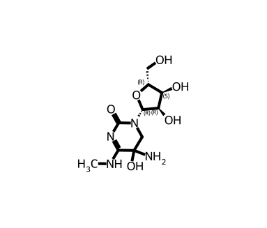 CNC1=NC(=O)N([C@@H]2O[C@H](CO)[C@@H](O)[C@H]2O)CC1(N)O